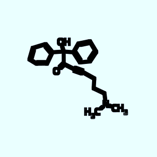 CN(C)CCCC#CC(=O)C(O)(c1ccccc1)c1ccccc1